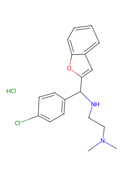 CN(C)CCNC(c1ccc(Cl)cc1)c1cc2ccccc2o1.Cl